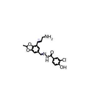 CC1Oc2cc(/C=N/NC(=O)c3ccc(O)c(Cl)c3)cc(/C=C/CN)c2O1